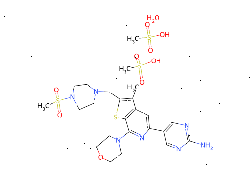 CS(=O)(=O)O.CS(=O)(=O)O.Cc1c(CN2CCN(S(C)(=O)=O)CC2)sc2c(N3CCOCC3)nc(-c3cnc(N)nc3)cc12.O